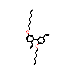 C=Cc1ccc(OCCCCCC)c(-c2cc(OCCCCCCC)ccc2C=C)c1